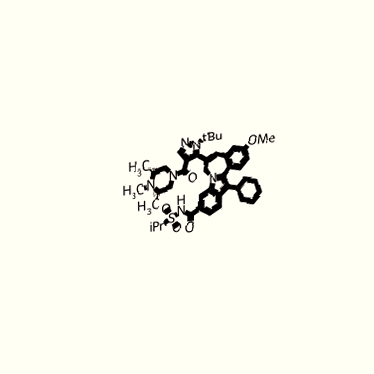 COc1ccc2c(c1)C=C(c1c(C(=O)N3C[C@@H](C)N(C)[C@@H](C)C3)cnn1C(C)(C)C)Cn1c-2c(C2CCCCC2)c2ccc(C(=O)NS(=O)(=O)C(C)C)cc21